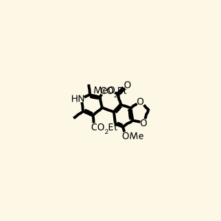 CCOC(=O)C1=C(C)NC(C)=C(C(=O)OCC)C1c1cc(OC)c2c(c1C(=O)OC)OCO2